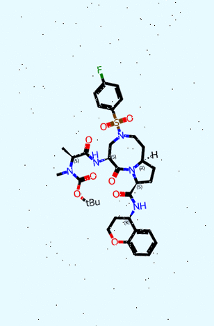 C[C@@H](C(=O)N[C@H]1CN(S(=O)(=O)c2ccc(F)cc2)CC[C@H]2CC[C@@H](C(=O)N[C@@H]3CCOc4ccccc43)N2C1=O)N(C)C(=O)OC(C)(C)C